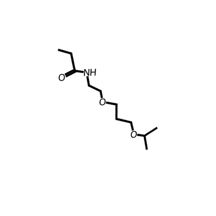 CCC(=O)NCCOCCCOC(C)C